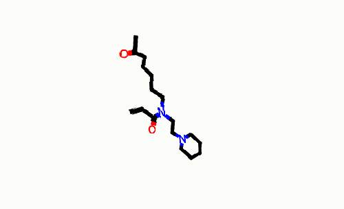 CCC(=O)N(CCCCCC(C)=O)CCN1CCCCC1